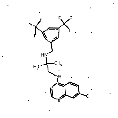 CC(C)(CNc1ccnc2cc(Cl)ccc12)NCc1cc(C(F)(F)F)cc(C(F)(F)F)c1